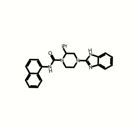 CC(C)C1CN(c2nc3ccccc3[nH]2)CCN1C(=O)Nc1cccc2ccccc12